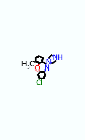 Cc1cccc2c1Oc1cc(Cl)ccc1N=C2N1CCNCC1